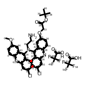 COc1ccc2nc3cc(Cl)ccc3c(N(CCN)c3c4ccc(Cl)cc4nc4ccc(OCC(=O)OC(C)(C)C)cc34)c2c1.O=C(O)C(F)(F)F.O=C(O)C(F)(F)F